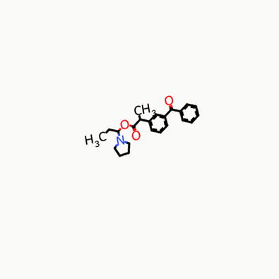 CCC(OC(=O)C(C)c1cccc(C(=O)c2ccccc2)c1)N1CCCC1